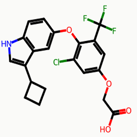 O=C(O)COc1cc(Cl)c(Oc2ccc3[nH]cc(C4CCC4)c3c2)c(C(F)(F)F)c1